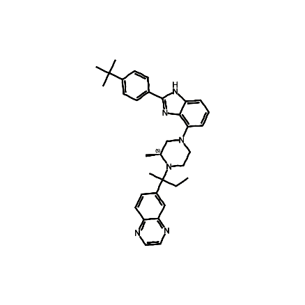 CCC(C)(c1ccc2nccnc2c1)N1CCN(c2cccc3[nH]c(-c4ccc(C(C)(C)C)cc4)nc23)C[C@@H]1C